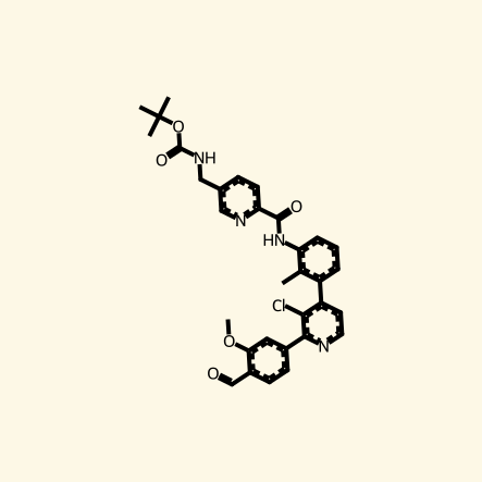 COc1cc(-c2nccc(-c3cccc(NC(=O)c4ccc(CNC(=O)OC(C)(C)C)cn4)c3C)c2Cl)ccc1C=O